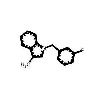 Cc1cn(Cc2cccc(F)c2)c2ccccc12